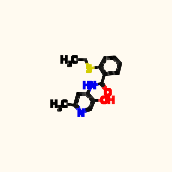 CCSc1ccccc1C(=O)Nc1cc(C)ncc1O